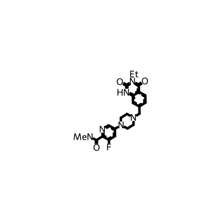 CCn1c(=O)[nH]c2cc(CN3CCN(c4cnc(C(=O)NC)c(F)c4)CC3)ccc2c1=O